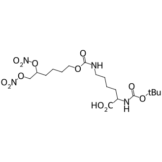 CC(C)(C)OC(=O)NC(CCCCNC(=O)OCCCCC(CO[N+](=O)[O-])O[N+](=O)[O-])C(=O)O